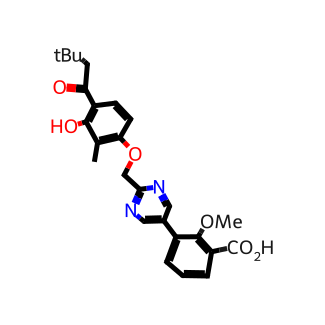 COc1c(C(=O)O)cccc1-c1cnc(COc2ccc(C(=O)CC(C)(C)C)c(O)c2C)nc1